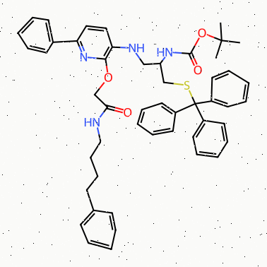 CC(C)(C)OC(=O)NC(CNc1ccc(-c2ccccc2)nc1OCC(=O)NCCCCc1ccccc1)CSC(c1ccccc1)(c1ccccc1)c1ccccc1